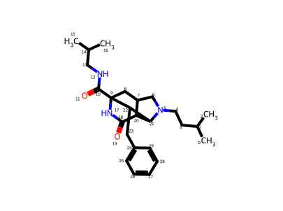 CC(C)CCN1CC2CC3(C(=O)NCC(C)C)NC(=O)C2C1C3Cc1ccccc1